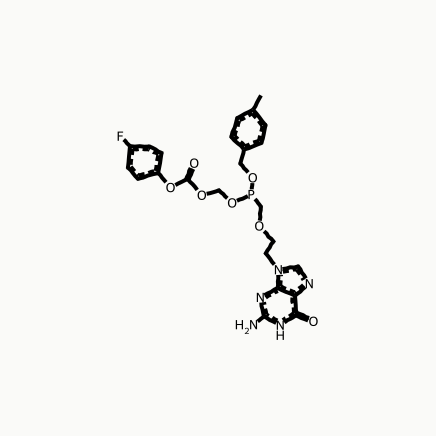 Cc1ccc(COP(COCCn2cnc3c(=O)[nH]c(N)nc32)OCOC(=O)Oc2ccc(F)cc2)cc1